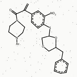 C=C(C(=O)N1CCN(C(C)=O)CC1)c1ccc(SC2COCC(Cc3ccccc3)O2)c([N+](=O)[O-])c1